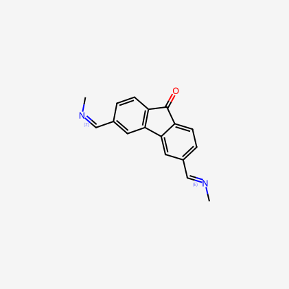 C/N=C\c1ccc2c(c1)-c1cc(/C=N/C)ccc1C2=O